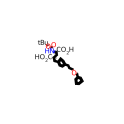 CC(C)(C)OC(=O)N[C@H](C[C@H](Cc1ccc(CCCOCc2ccccc2)cc1)C(=O)O)C(=O)O